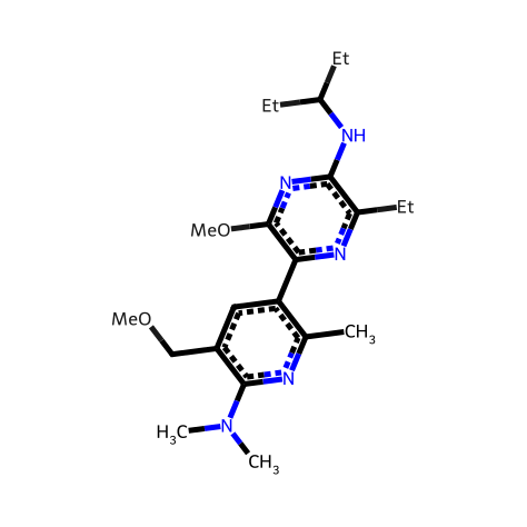 CCc1nc(-c2cc(COC)c(N(C)C)nc2C)c(OC)nc1NC(CC)CC